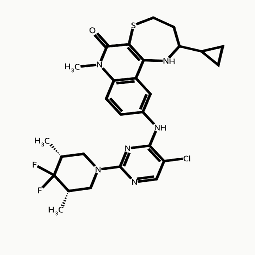 C[C@@H]1CN(c2ncc(Cl)c(Nc3ccc4c(c3)c3c(c(=O)n4C)SCCC(C4CC4)N3)n2)C[C@H](C)C1(F)F